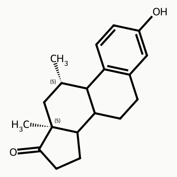 C[C@H]1C[C@]2(C)C(=O)CCC2C2CCc3cc(O)ccc3C21